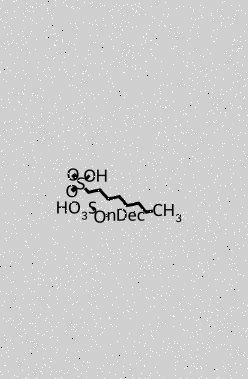 CCCCCCCCCCOS(=O)(=O)O.CCCCCCCCS(=O)(=O)O